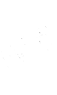 C=C1[C@H](CC(C)C)N2C(=O)[C@@](NC(=O)[C@@H]3C=C4c5cccc6[nH]c(Br)c(c56)C[C@H]4N(C)C3)(C(C)C)O[C@@]2(O)[C@@H]2CCCN12